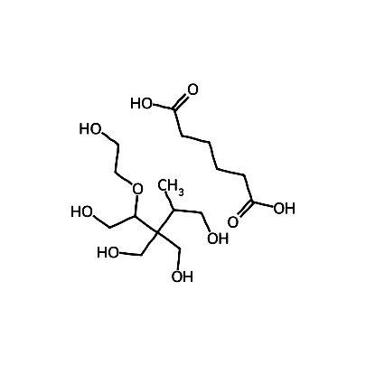 CC(CO)C(CO)(CO)C(CO)OCCO.O=C(O)CCCCC(=O)O